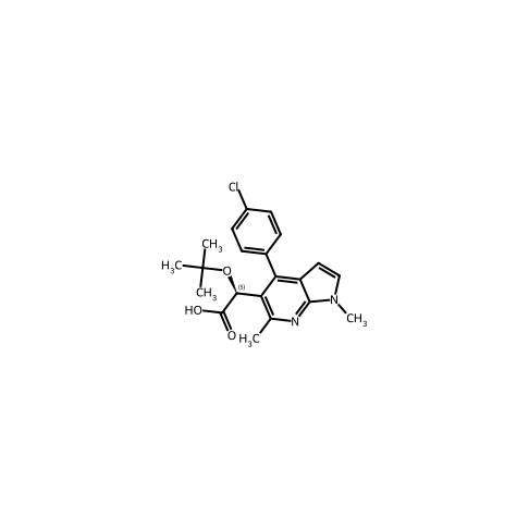 Cc1nc2c(ccn2C)c(-c2ccc(Cl)cc2)c1[C@H](OC(C)(C)C)C(=O)O